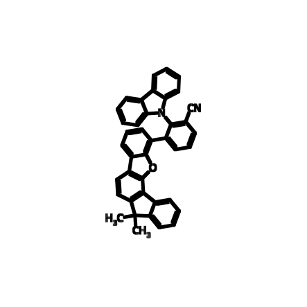 CC1(C)c2ccccc2-c2c1ccc1c2oc2c(-c3cccc(C#N)c3-n3c4ccccc4c4ccccc43)cccc21